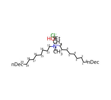 CCCCCCCCCCCCCCCCCC[N+](C)(C)CCCCCCCCCCCCCCCCCC.CCO.[Cl-]